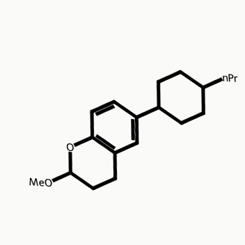 CCCC1CCC(c2ccc3c(c2)CCC(OC)O3)CC1